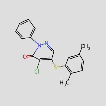 Cc1ccc(C)c(Sc2cnn(-c3ccccc3)c(=O)c2Cl)c1